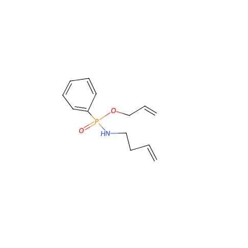 C=CCCNP(=O)(OCC=C)c1ccccc1